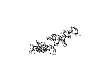 CC(C)C[C@H](NC(=O)[C@H](CNC(=O)c1csc(-c2ccncc2)n1)NC=O)B1O[C@@H]2C[C@@H]3C[C@@H](C3(C)C)[C@]2(C)O1